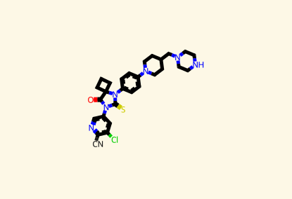 N#Cc1ncc(N2C(=O)C3(CCC3)N(c3ccc(N4CCC(CN5CCNCC5)CC4)cc3)C2=S)cc1Cl